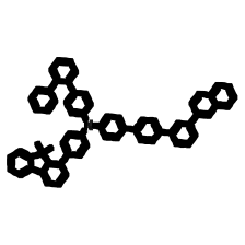 CC1(C)c2ccccc2-c2cccc(-c3ccc(N(c4ccc(-c5ccc(-c6cccc(-c7ccc8ccccc8c7)c6)cc5)cc4)c4ccc(-c5ccccc5-c5ccccc5)cc4)cc3)c21